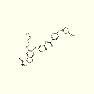 CCOCCOc1cc2c(ccn2C(=O)NC)cc1Oc1ccnc(NC(=O)c2ccc(CN3CC[C@@H](O)C3)cc2)c1